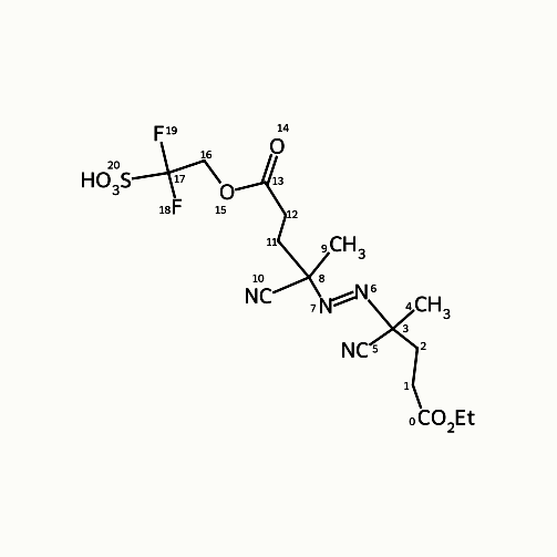 CCOC(=O)CCC(C)(C#N)N=NC(C)(C#N)CCC(=O)OCC(F)(F)S(=O)(=O)O